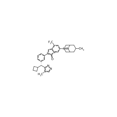 CC1CC2CN(c3cc(C(F)(F)F)c4cn(-c5cccc([C@H](c6nncn6C)C6CCC6)c5)c(=O)n4c3)CC(C1)N2